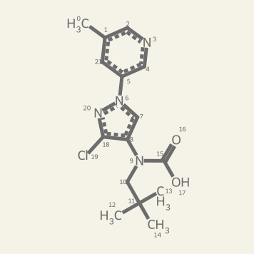 Cc1cncc(-n2cc(N(CC(C)(C)C)C(=O)O)c(Cl)n2)c1